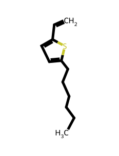 C=Cc1ccc(CCCCCC)s1